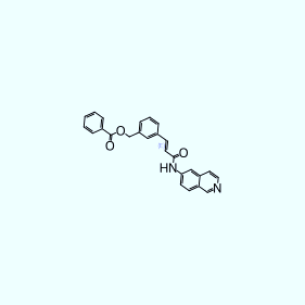 O=C(/C=C/c1cccc(COC(=O)c2ccccc2)c1)Nc1ccc2cnccc2c1